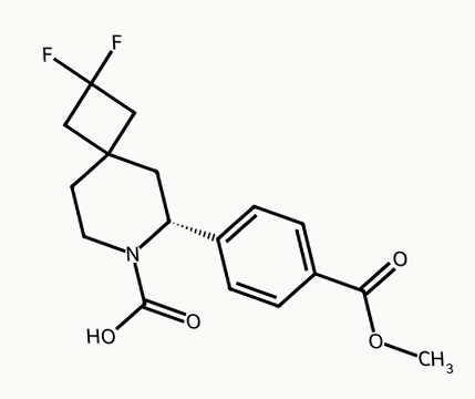 COC(=O)c1ccc([C@H]2CC3(CCN2C(=O)O)CC(F)(F)C3)cc1